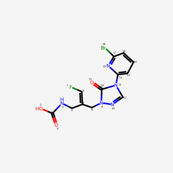 O=C(O)NCC(=CF)Cn1ncn(-c2cccc(Br)n2)c1=O